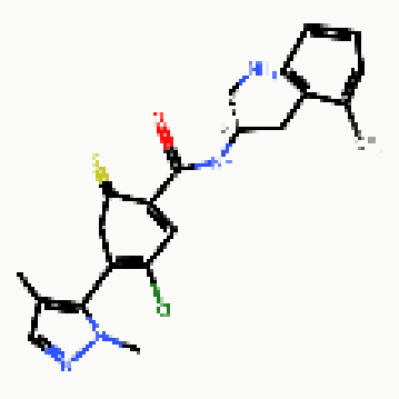 Cc1cnn(C)c1C1=C(Cl)C=C(C(=O)N[C@H](CN)Cc2ccccc2C(F)(F)F)C(=S)C1